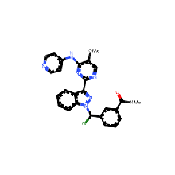 CNC(=O)c1cccc(C(Cl)n2nc(-c3ncc(OC)c(Nc4ccncc4)n3)c3ccccc32)c1